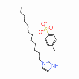 CCCCCCCCCCCC[n+]1cc[nH]c1.Cc1ccc(S(=O)(=O)[O-])cc1